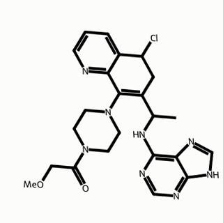 COCC(=O)N1CCN(C2=C(C(C)Nc3ncnc4[nH]cnc34)CC(Cl)c3cccnc32)CC1